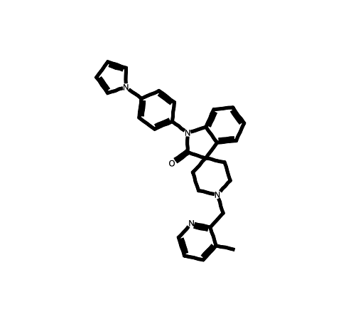 Cc1cccnc1CN1CCC2(CC1)C(=O)N(c1ccc(-n3cccc3)cc1)c1ccccc12